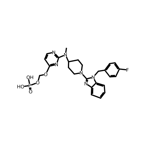 CN(c1nccc(OCOP(=O)(O)O)n1)C1CCN(c2nc3ccccc3n2Cc2ccc(F)cc2)CC1